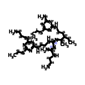 CCSc1nc(N)nc(NCCC(CC)C(C)/N=C(\N=C(/N)NCCN)NCCNc2nc(NCCN)nc(SCC)n2)n1